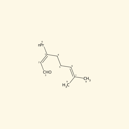 CCCC(=CC=O)CCC=C(C)C